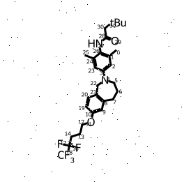 Cc1cc(N2CCCc3cc(OCCCC(F)(F)C(F)(F)F)ccc3C2)cc(C)c1NC(=O)CC(C)(C)C